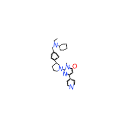 CCN(Cc1ccc(C2CCCN(c3nc(-c4ccncc4)cc(=O)n3C)C2)cc1)C1CCCCC1